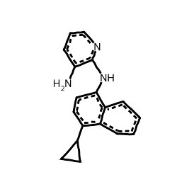 Nc1cccnc1Nc1ccc(C2CC2)c2ccccc12